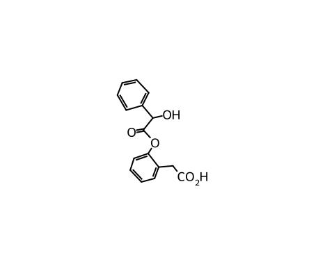 O=C(O)Cc1ccccc1OC(=O)C(O)c1ccccc1